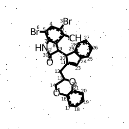 Cc1c(Br)cc(Br)c2c1C(C1C(CC3COc4ccccc4O3)=Cc3ccccc31)C(=O)N2